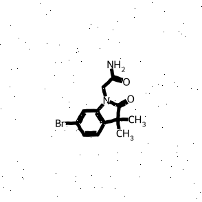 CC1(C)C(=O)N(CC(N)=O)c2cc(Br)ccc21